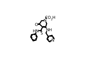 O=C1CN(C(=O)O)CC(NCc2ccncc2)=C1C(=S)Nc1ccccc1